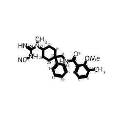 COc1c(C)cccc1C(=O)NCC1(c2ccccc2)CCC(N(C)C(=N)NC#N)CC1